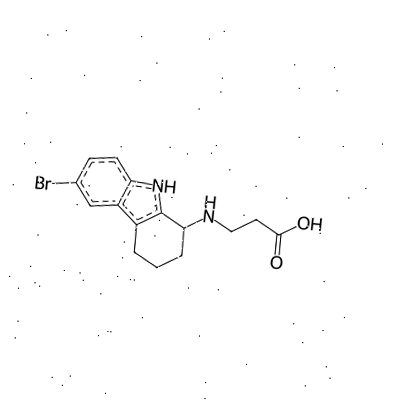 O=C(O)CCNC1CCCc2c1[nH]c1ccc(Br)cc21